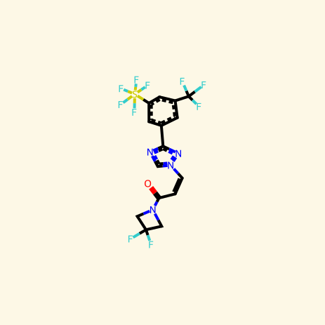 O=C(/C=C\n1cnc(-c2cc(C(F)(F)F)cc(S(F)(F)(F)(F)F)c2)n1)N1CC(F)(F)C1